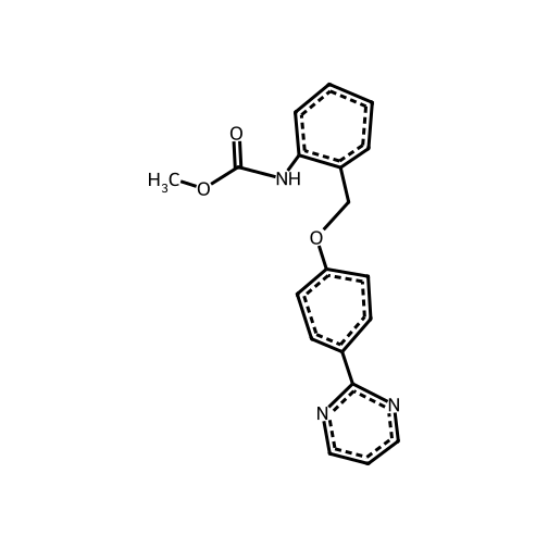 COC(=O)Nc1ccccc1COc1ccc(-c2ncccn2)cc1